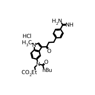 CCCCC(=O)N(CC(=O)OCC)c1ccc2c(c1)c(C(=O)CCc1ccc(C(=N)N)cc1)cn2C.Cl